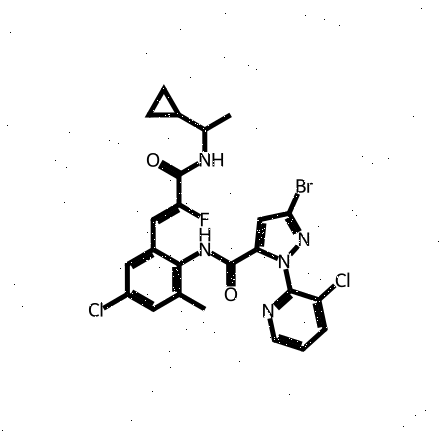 Cc1cc(Cl)cc(C=C(F)C(=O)NC(C)C2CC2)c1NC(=O)c1cc(Br)nn1-c1ncccc1Cl